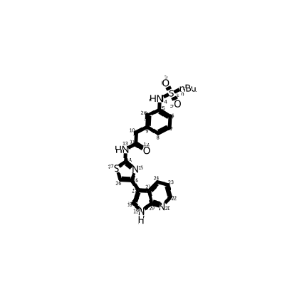 CCCCS(=O)(=O)Nc1cccc(CC(=O)Nc2nc(-c3c[nH]c4ncccc34)cs2)c1